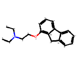 CCN(CC)CCOc1cccc2c1Cc1ccccc1-2